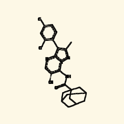 Cc1nn2c(NC(=O)C34CC5CC(CC(C5)C3)C4)c(C#N)cnc2c1-c1ccc(Cl)cc1Cl